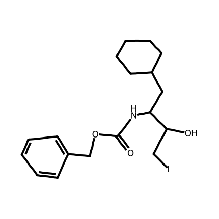 O=C(NC(CC1CCCCC1)C(O)CI)OCc1ccccc1